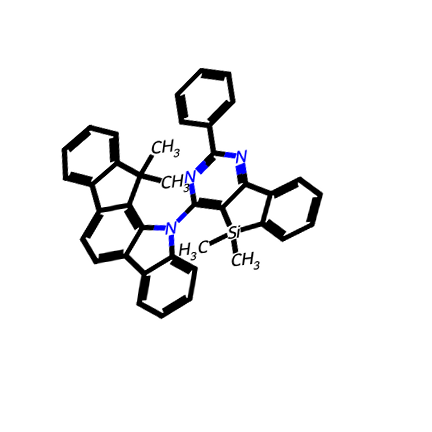 CC1(C)c2ccccc2-c2ccc3c4ccccc4n(-c4nc(-c5ccccc5)nc5c4[Si](C)(C)c4ccccc4-5)c3c21